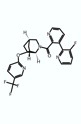 O=C(c1ncccc1-c1ncccc1F)N1C[C@@H]2CC[C@H]1[C@H](Oc1ccc(C(F)(F)F)cn1)C2